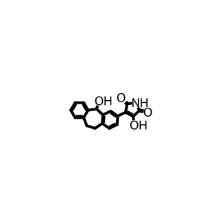 O=C1NC(=O)C(c2ccc3c(c2)C(O)c2ccccc2CC3)=C1O